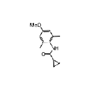 COc1cc(C)c(NC(=O)C2CC2)c(C)c1